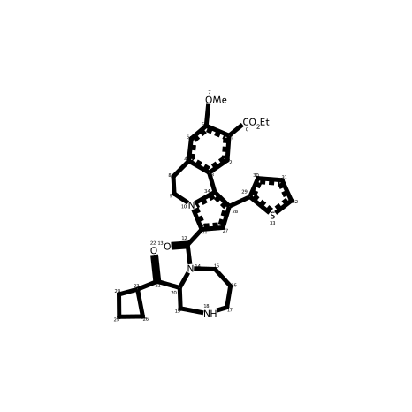 CCOC(=O)c1cc2c(cc1OC)CCn1c(C(=O)N3CCCNCC3C(=O)C3CCC3)cc(-c3cccs3)c1-2